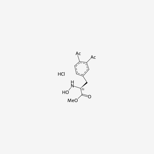 COC(=O)[C@H](Cc1ccc(C(C)=O)c(C(C)=O)c1)NO.Cl